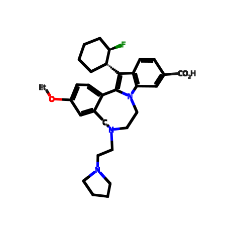 CCOc1ccc2c(c1)CN(CCN1CCCC1)CCn1c-2c([C@@H]2CCCC[C@H]2F)c2ccc(C(=O)O)cc21